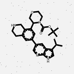 CC(C)c1c[nH]c2ncc(-c3cc4c(c(C5COCCN5C(=O)OC(C)(C)C)c3)CNCC4)cc12